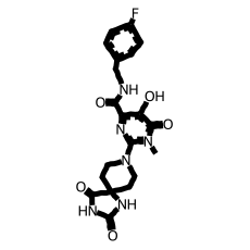 Cn1c(N2CCC3(CC2)NC(=O)NC3=O)nc(C(=O)NCc2ccc(F)cc2)c(O)c1=O